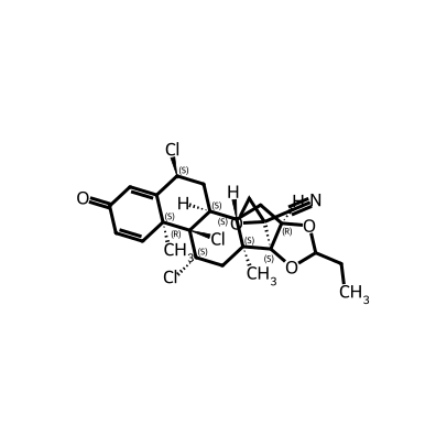 CCC1O[C@@H]2C[C@H]3[C@@H]4C[C@H](Cl)C5=CC(=O)C=C[C@]5(C)[C@@]4(Cl)[C@@H](Cl)C[C@]3(C)[C@]2(C2(C#N)CO2)O1